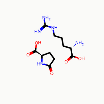 N=C(N)NCCC[C@H](N)C(=O)O.O=C1CC[C@H](C(=O)O)N1